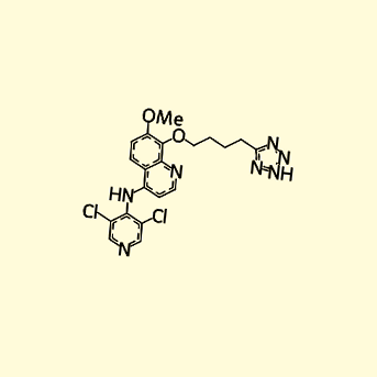 COc1ccc2c(Nc3c(Cl)cncc3Cl)ccnc2c1OCCCCc1nn[nH]n1